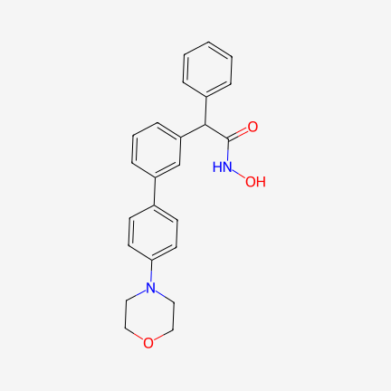 O=C(NO)C(c1ccccc1)c1cccc(-c2ccc(N3CCOCC3)cc2)c1